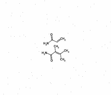 C=CC(N)=O.CC(C)=C(C)C(N)=O